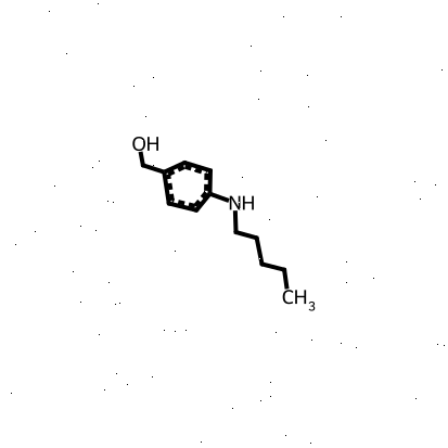 CCCCCNc1ccc(CO)cc1